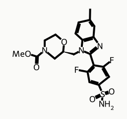 COC(=O)N1CCO[C@@H](Cn2c(-c3c(F)cc(S(N)(=O)=O)cc3F)nc3cc(C)ccc32)C1